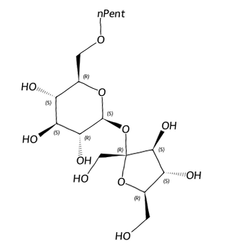 CCCCCOC[C@H]1O[C@@H](O[C@@]2(CO)O[C@H](CO)[C@@H](O)[C@@H]2O)[C@H](O)[C@@H](O)[C@@H]1O